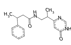 CC(CC(=O)NCC(C)c1cc(=O)[nH]cn1)c1ccccc1